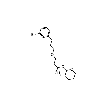 CC(CCOCCCc1cccc(Br)c1)OC1CCCCO1